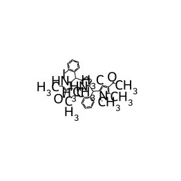 CC(=O)c1c(C)[nH]c(C(c2ccc(C(c3ccccc3C)c3c(C)c(C(C)=O)c(C)n3C)[nH]2)c2ccccc2I)c1C